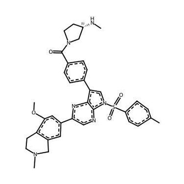 CN[C@H]1CCN(C(=O)c2ccc(-c3cn(S(=O)(=O)c4ccc(C)cc4)c4ncc(-c5cc6c(c(OC)c5)CCN(C)C6)nc34)cc2)C1